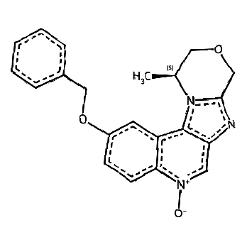 C[C@H]1COCc2nc3c[n+]([O-])c4ccc(OCc5ccccc5)cc4c3n21